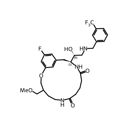 COCC1CCNC(=O)CCCC(=O)N[C@H]([C@H](O)CNCc2cccc(C(F)(F)F)c2)Cc2cc(F)cc(c2)OC1